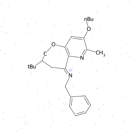 CCCCOc1cc2c(nc1C)/C(=N/Cc1ccccc1)CC(C(C)(C)C)CO2